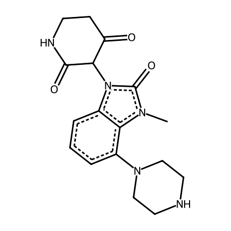 Cn1c(=O)n(C2C(=O)CCNC2=O)c2cccc(N3CCNCC3)c21